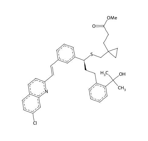 COC(=O)CCC1(CS[C@@H](CCc2ccccc2C(C)(C)O)c2cccc(/C=C/c3ccc4ccc(Cl)cc4n3)c2)CC1